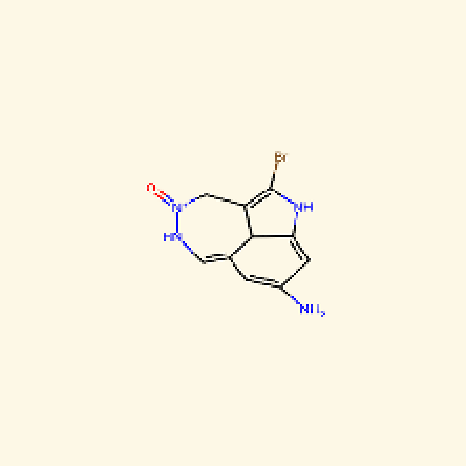 NC1=CC2=CN[N+](=O)CC3=C(Br)NC(=C1)C23